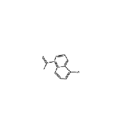 C=C(C)c1cccc2c(CC)cccc12